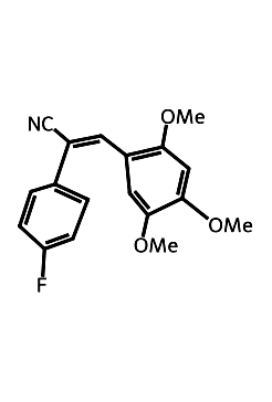 COc1cc(OC)c(OC)cc1C=C(C#N)c1ccc(F)cc1